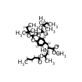 CCCCC(=O)OC(C)CN[C@@H](Cc1ccc(OC(=O)OC(C)(C)CC)c(OC(=O)OC(C)(C)CC)c1)C(=O)OC